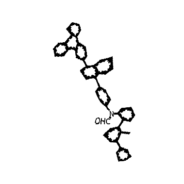 Cc1c(-c2ccccc2)cccc1-c1ccccc1N(C=O)c1ccc(-c2ccc(-c3ccc4c5ccccc5c5ccccc5c4c3)c3ccccc23)cc1